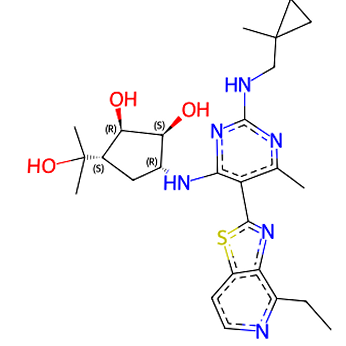 CCc1nccc2sc(-c3c(C)nc(NCC4(C)CC4)nc3N[C@@H]3C[C@H](C(C)(C)O)[C@@H](O)[C@H]3O)nc12